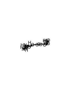 O=C1CCC(N2Cc3c(NC(=O)CCCCCOCCOCCOCCCCCCOc4ccc(CNC(=O)c5cccc(NC6(c7nnc(-c8ccncc8)[nH]7)CCNCC6)c5)cc4)cccc3C2=O)C(=O)N1